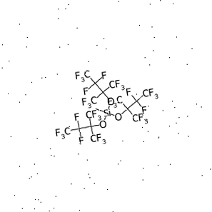 C[Si](OC(C(F)(F)F)(C(F)(F)F)C(F)(F)C(F)(F)F)(OC(C(F)(F)F)(C(F)(F)F)C(F)(F)C(F)(F)F)OC(C(F)(F)F)(C(F)(F)F)C(F)(F)C(F)(F)F